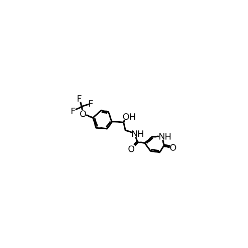 O=C(NCC(O)c1ccc(OC(F)(F)F)cc1)c1ccc(=O)[nH]c1